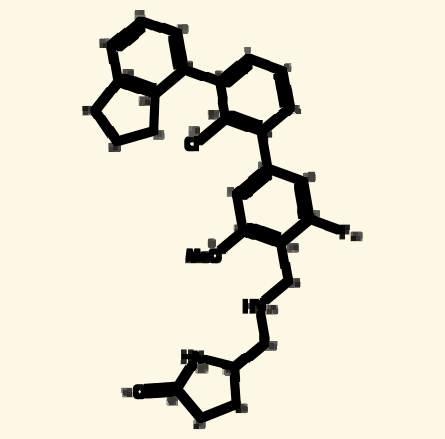 COc1cc(-c2cccc(-c3cccc4c3CCC4)c2Cl)cc(F)c1CNCC1CCC(=O)N1